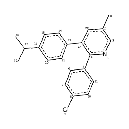 [CH2]c1cnc(-c2ccc(Cl)cc2)c(-c2ccc(C(C)C)cc2)c1